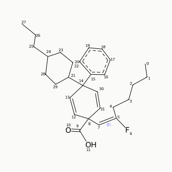 CCCCC/C(F)=C\C1(C(=O)O)C=CC(c2ccccc2)(C2CCC(CCC)CC2)C=C1